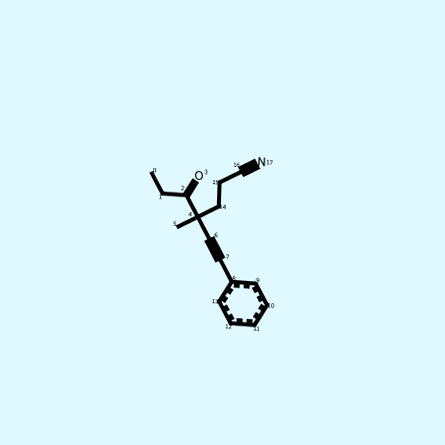 CCC(=O)C(C)(C#Cc1ccccc1)CCC#N